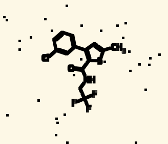 Cc1cc(-c2cccc(Cl)c2)c(C(=O)NCC(F)(F)F)s1